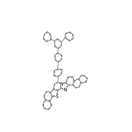 c1ccc(-c2cc(-c3ccccc3)cc(-c3ccc(-c4ccc(-c5cc6c7ccc8ccccc8c7sc6c6nc7c8ccc9ccccc9c8ccc7n56)cc4)cc3)c2)cc1